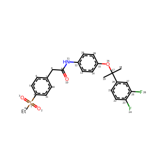 CCS(=O)(=O)c1ccc(CC(=O)Nc2ccc(OC(C)(C)c3ccc(F)c(F)c3)cc2)cc1